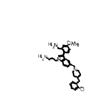 COc1ccc(-c2cn(CCCN)c3ccc(CN4CCC(Cc5ccccc5Cl)CC4)cc23)c(CN)c1